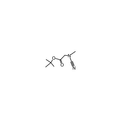 CN(C#N)CC(=O)OC(C)(C)C